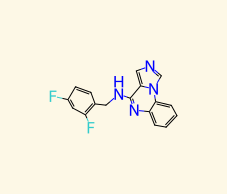 Fc1ccc(CNc2nc3ccccc3n3cncc23)c(F)c1